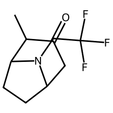 CC1C(=O)CC2CCC1N2CC(F)(F)F